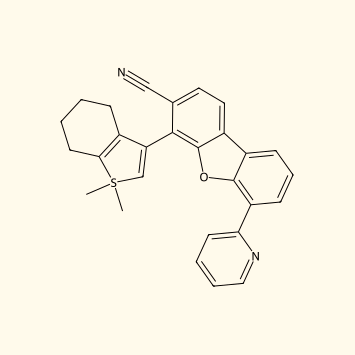 CS1(C)C=C(c2c(C#N)ccc3c2oc2c(-c4ccccn4)cccc23)C2=C1CCCC2